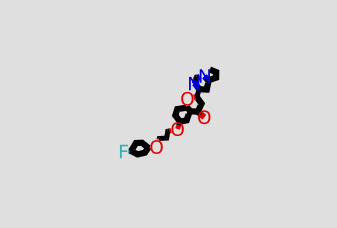 O=c1cc(-c2cc3cccn3cn2)oc2ccc(OCCCOc3ccc(F)cc3)cc12